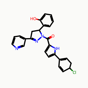 O=C(c1ccc(C2=CCC(Cl)C=C2)[nH]1)N1N=C(c2cccnc2)CC1c1ccccc1O